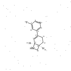 Fc1cncc(C2=C[C@@H]3NC[C@@H]3CC2)c1